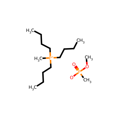 CCCC[P+](C)(CCCC)CCCC.COP(C)(=O)[O-]